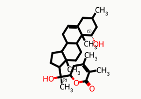 CC1=C(C)C(=O)OC([C@](C)(O)C2CCC3C4CC=C5CC(C)C[C@H](O)C5(C)C4CCC32C)C1